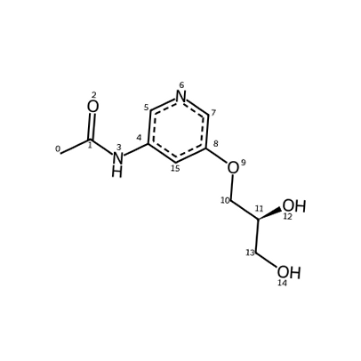 CC(=O)Nc1cncc(OC[C@@H](O)CO)c1